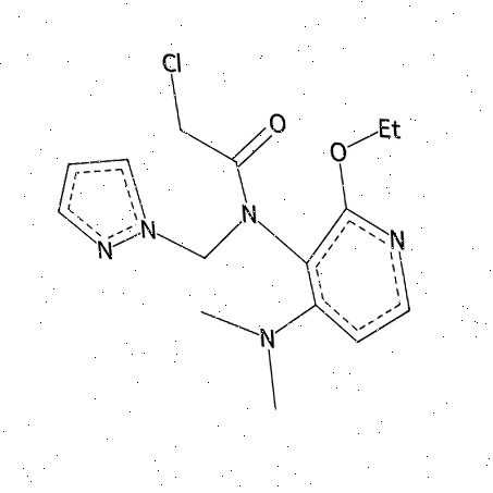 CCOc1nccc(N(C)C)c1N(Cn1cccn1)C(=O)CCl